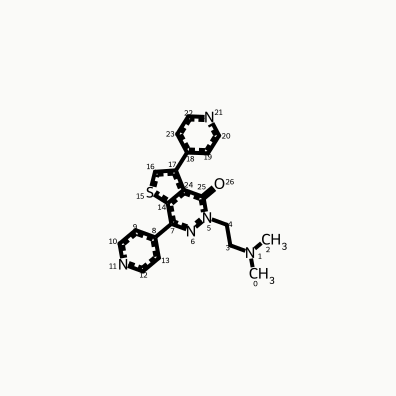 CN(C)CCn1nc(-c2ccncc2)c2scc(-c3ccncc3)c2c1=O